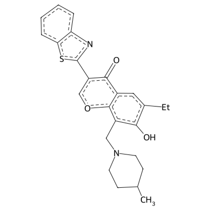 CCc1cc2c(=O)c(-c3nc4ccccc4s3)coc2c(CN2CCC(C)CC2)c1O